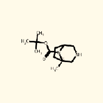 CC(C)(C)OC(=O)N1C2CC[C@@]1(C)CNC2